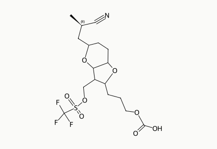 C[C@@H](C#N)CC1CCC2OC(CCCOC(=O)O)C(COS(=O)(=O)C(F)(F)F)C2O1